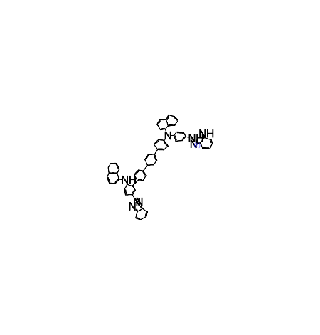 N=C1C=CC=C/C1=N/Nc1ccc(N(c2ccc(-c3ccc(-c4ccc(C5C=C(n6nc7ccccc7n6)C=CC5Nc5cccc6c5C=CCC6)cc4)cc3)cc2)c2cccc3ccccc23)cc1